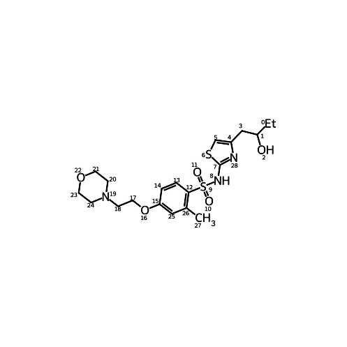 CCC(O)Cc1csc(NS(=O)(=O)c2ccc(OCCN3CCOCC3)cc2C)n1